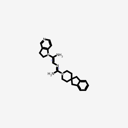 N/C(=C\N=C(/N)N1CCC2(CC1)Cc1ccccc1C2)N1CCc2cnccc21